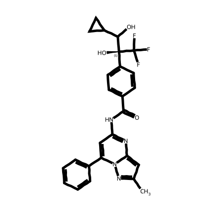 Cc1cc2nc(NC(=O)c3ccc([C@](O)(C(O)C4CC4)C(F)(F)F)cc3)cc(-c3ccccc3)n2n1